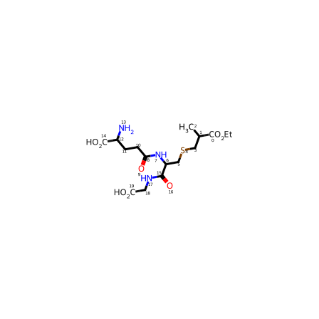 CCOC(=O)C(C)CSCC(NC(=O)CCC(N)C(=O)O)C(=O)NCC(=O)O